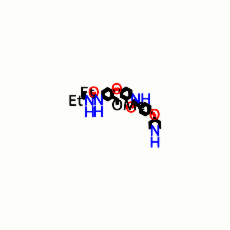 CCC(CC)NC(=O)Nc1ccc(Oc2ccc(NC(=O)c3ccc(OC4CCNCC4)cc3)cc2)c(COC)c1